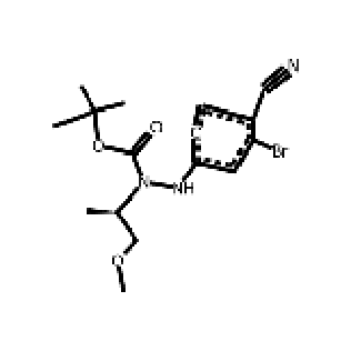 COC[C@@H](C)N(Nc1ccc(C#N)c(Br)c1)C(=O)OC(C)(C)C